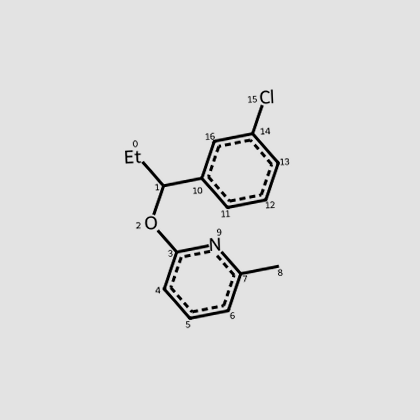 CCC(Oc1cccc(C)n1)c1cccc(Cl)c1